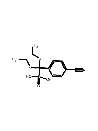 CCOC(OCC)(c1ccc(C#N)cc1)P(=O)(O)O